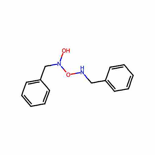 ON(Cc1ccccc1)ONCc1ccccc1